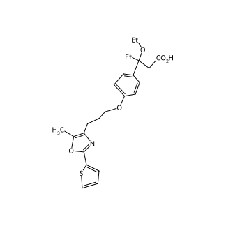 CCOC(CC)(CC(=O)O)c1ccc(OCCCc2nc(-c3cccs3)oc2C)cc1